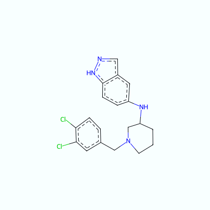 Clc1ccc(CN2CCCC(Nc3ccc4[nH]ncc4c3)C2)cc1Cl